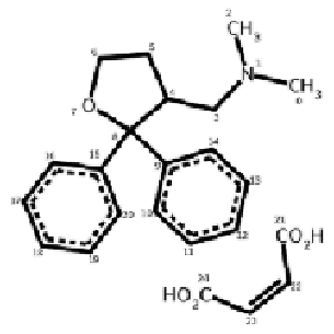 CN(C)CC1CCOC1(c1ccccc1)c1ccccc1.O=C(O)/C=C\C(=O)O